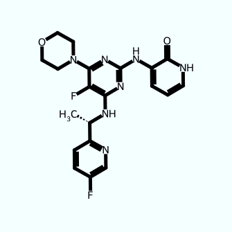 C[C@H](Nc1nc(Nc2ccc[nH]c2=O)nc(N2CCOCC2)c1F)c1ccc(F)cn1